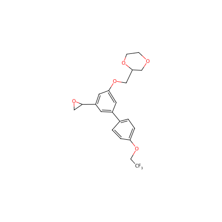 FC(F)(F)COc1ccc(-c2cc(OCC3COCCO3)cc(C3CO3)c2)cc1